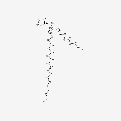 CCCCCC=CCC=CCCCCCCCCOC(CN1CCCC1)OCCCCCCCC